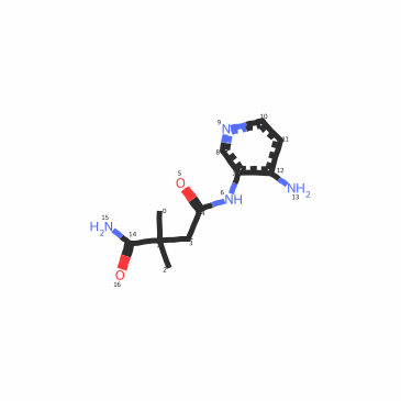 CC(C)([CH]C(=O)Nc1cnccc1N)C(N)=O